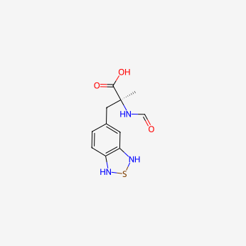 C[C@@](Cc1ccc2c(c1)NSN2)(NC=O)C(=O)O